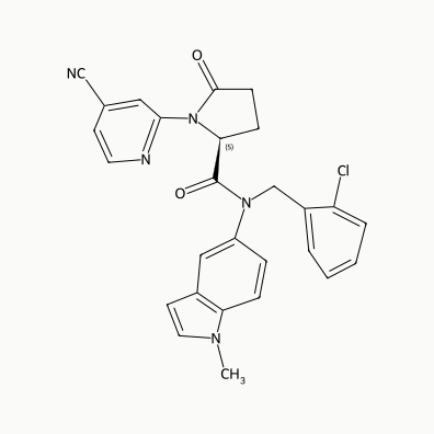 Cn1ccc2cc(N(Cc3ccccc3Cl)C(=O)[C@@H]3CCC(=O)N3c3cc(C#N)ccn3)ccc21